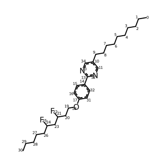 CCCCCCCCCCc1cnc(-c2ccc(OCCC(F)CC(F)CCCCC)cc2)nc1